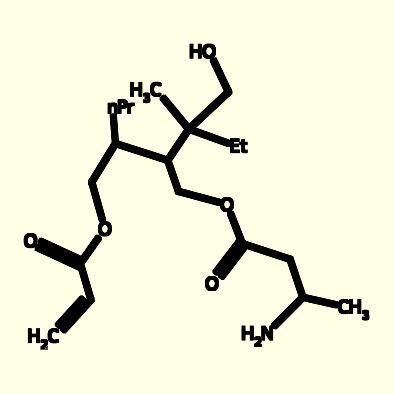 C=CC(=O)OCC(CCC)C(COC(=O)CC(C)N)C(C)(CC)CO